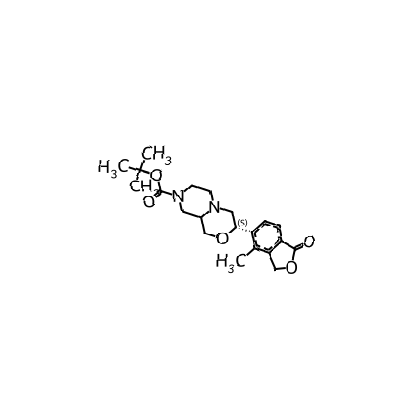 Cc1c([C@H]2CN3CCN(C(=O)OC(C)(C)C)CC3CO2)ccc2c1COC2=O